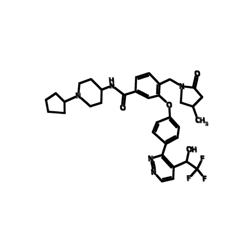 CC1CC(=O)N(Cc2ccc(C(=O)NC3CCN(C4CCCC4)CC3)cc2Oc2ccc(-c3nnccc3C(O)C(F)(F)F)cc2)C1